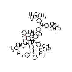 CC(C)(C)c1ccc(N2B3c4cc5oc(-c6ccccc6)c(-c6ccccc6)c5cc4N(c4ccc(C(C)(C)C)cc4-c4ccccc4)c4cc5c(c(c43)-c3cc4c(cc32)oc2cc(N(c3ccc(C(C)(C)C)cc3)c3ccc(C(C)(C)C)cc3)ccc24)C(C)(C)c2ccccc2-5)cc1